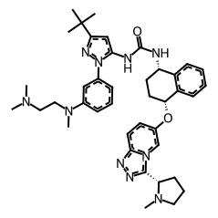 CN(C)CCN(C)c1cccc(-n2nc(C(C)(C)C)cc2NC(=O)N[C@H]2CC[C@@H](Oc3ccc4nnc([C@@H]5CCCN5C)n4c3)c3ccccc32)c1